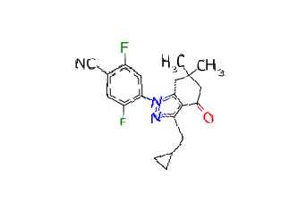 CC1(C)CC(=O)c2c(CC3CC3)nn(-c3cc(F)c(C#N)cc3F)c2C1